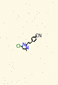 Cc1cc(Cl)nc(C=Cc2ccc(C#N)cc2)n1